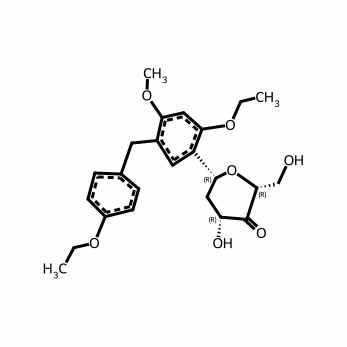 CCOc1ccc(Cc2cc([C@H]3C[C@@H](O)C(=O)[C@@H](CO)O3)c(OCC)cc2OC)cc1